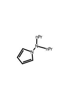 CCCN(CCC)n1cccc1